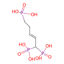 O=P(O)(O)CCC=CC(P(=O)(O)O)P(=O)(O)O